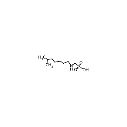 CC(C)CCCCCNCS(=O)(=O)O